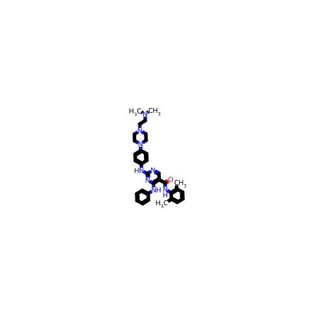 Cc1cccc(C)c1NC(=O)c1cnc(Nc2ccc(N3CCN(CCN(C)C)CC3)cc2)nc1Nc1ccccc1